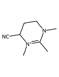 CC1=[N+](C)C(C#N)CCN1C